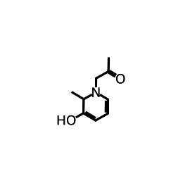 CC(=O)CN1C=CC=C(O)C1C